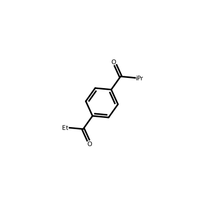 CCC(=O)c1ccc(C(=O)C(C)C)cc1